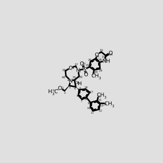 COC[C@@H]1[C@@H](c2ccc(-c3cccc(C)c3C)cc2)[C@@H]2CN(S(=O)(=O)c3cc4c(cc3C)NC(=O)CO4)CCCCN12